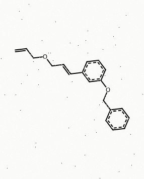 C=CCOCC=Cc1cccc(OCc2ccccc2)c1